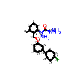 Cc1cccc(N(N)C(=O)NN)c1COc1cccc(-c2ccc(F)cc2)c1